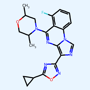 CC1CN(c2nc3c(-c4noc(C5CC5)n4)ncn3c3cccc(F)c23)C(C)CO1